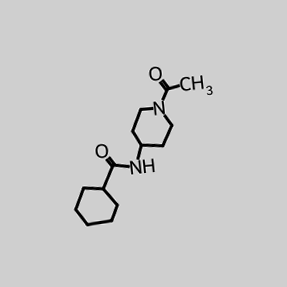 CC(=O)N1CCC(NC(=O)C2CCCCC2)CC1